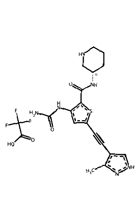 Cc1n[nH]cc1C#Cc1cc(NC(N)=O)c(C(=O)N[C@H]2CCCNC2)s1.O=C(O)C(F)(F)F